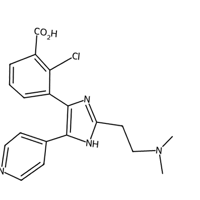 CN(C)CCc1nc(-c2cccc(C(=O)O)c2Cl)c(-c2ccncc2)[nH]1